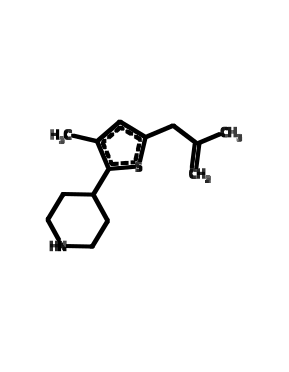 C=C(C)Cc1cc(C)c(C2CCNCC2)s1